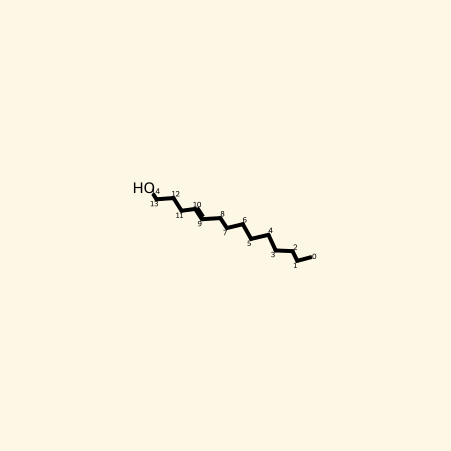 CCCCCCCCCC=CCCCO